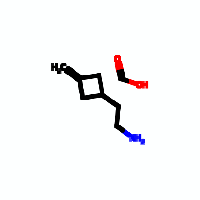 C=C1CC(CCN)C1.O=CO